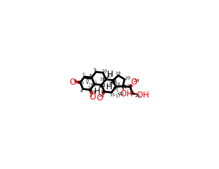 C[C@]12C(=O)CC(=O)C=C1CC[C@@H]1[C@@H]2C(=O)C[C@@]2(C)[C@H]1CC[C@]2(O)C(=O)CO